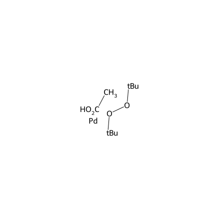 CC(=O)O.CC(C)(C)OOC(C)(C)C.[Pd]